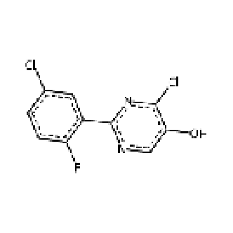 Oc1cnc(-c2cc(Cl)ccc2F)nc1Cl